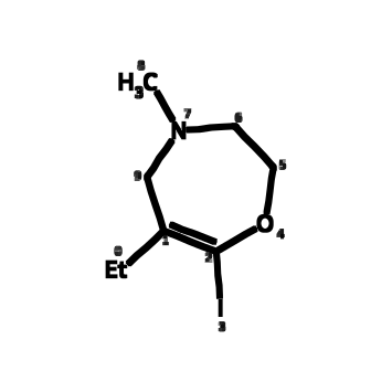 CCC1=C(I)OCCN(C)C1